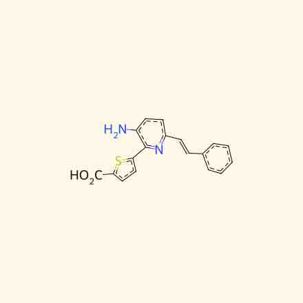 Nc1ccc(C=Cc2ccccc2)nc1-c1ccc(C(=O)O)s1